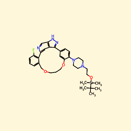 CC(C)(C)[Si](C)(C)OCCN1CCN(c2ccc3cc2OCCCOCc2cccc(F)c2-c2cc4c-3n[nH]c4cn2)CC1